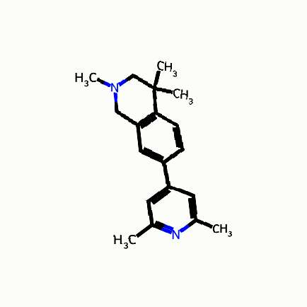 Cc1cc(-c2ccc3c(c2)CN(C)CC3(C)C)cc(C)n1